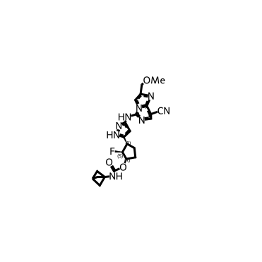 COCc1cn2c(Nc3cc([C@H]4CC[C@@H](OC(=O)NC56CC(C5)C6)[C@H]4F)[nH]n3)ncc(C#N)c2n1